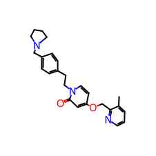 Cc1cccnc1COc1ccn(CCc2ccc(CN3CCCC3)cc2)c(=O)c1